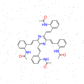 CC(=O)Nc1ccccc1/C=C/c1nc(/C=C/c2ccccc2NC(C)=O)c(/C=C/c2ccccc2NC(C)=O)nc1/C=C/c1ccccc1NC(C)=O